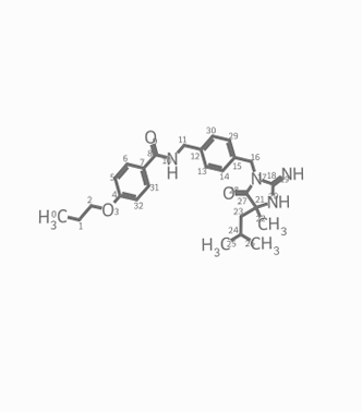 CCCOc1ccc(C(=O)NCc2ccc(CN3C(=N)NC(C)(CC(C)C)C3=O)cc2)cc1